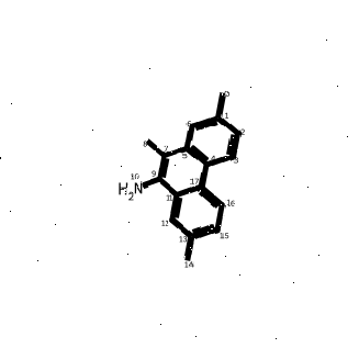 Cc1ccc2c(c1)c(C)c(N)c1cc(C)ccc12